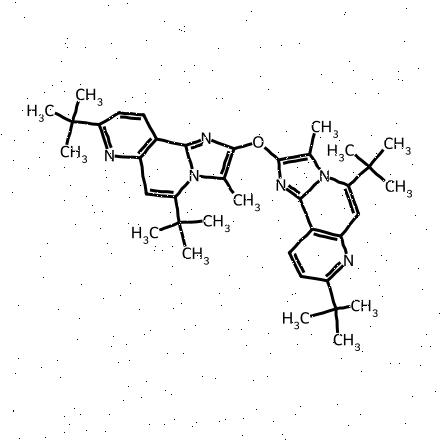 Cc1c(Oc2nc3c4ccc(C(C)(C)C)nc4cc(C(C)(C)C)n3c2C)nc2c3ccc(C(C)(C)C)nc3cc(C(C)(C)C)n12